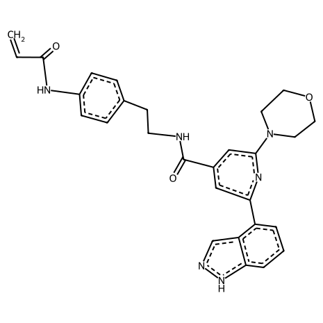 C=CC(=O)Nc1ccc(CCNC(=O)c2cc(-c3cccc4[nH]ncc34)nc(N3CCOCC3)c2)cc1